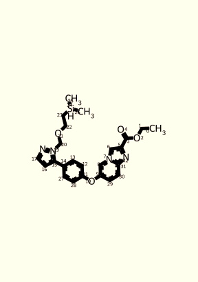 CCOC(=O)c1cn2cc(Oc3ccc(-c4ccnn4COCC[SiH](C)C)cc3)ccc2n1